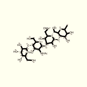 COCC1O[C@@H](O[C@@H]2C(CO)OC(C)C(O)[C@H]2O)C(O)[C@@H](O[C@@H]2OC(CO)[C@@H](O[C@@H]3OC(CO)[C@H](O)[C@H](O)C3O)[C@H](O)C2NC(C)=O)[C@H]1O